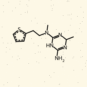 CC1N=C(N)NC(N(C)CCc2cccs2)=N1